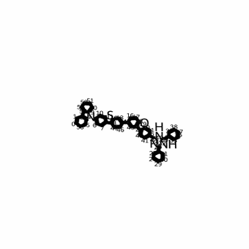 C1=Cc2c(n(-c3ccc4c(c3)sc3cc(-c5ccc6oc7cc(C8N=C(c9ccccc9)NC(c9ccccc9)N8)ccc7c6c5)ccc34)c3ccccc23)CC1